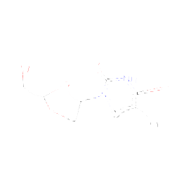 Cc1cn(C2COC(CO)O2)c(=O)[nH]c1=O